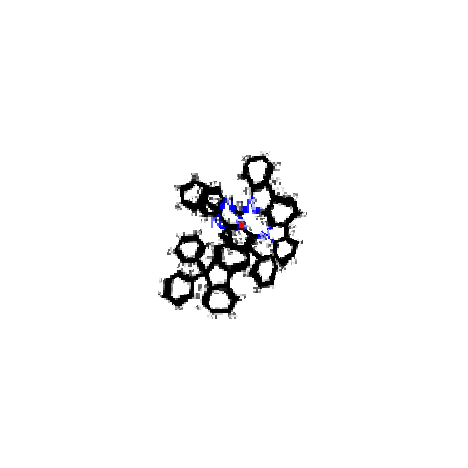 c1ccc(-c2ccc(-c3ccccc3)c(-n3c4ccccc4c4ccc5c6ccccc6n(-c6nc(-c7ccccc7)nc(-c7ccc8c(c7)C(c7ccccc7)(c7ccccc7)c7ccccc7-8)n6)c5c43)c2)cc1